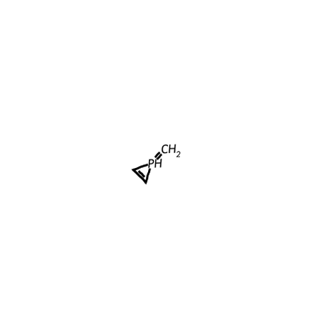 C=[PH]1C=C1